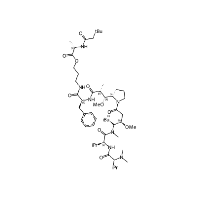 CC[C@H](C)C([C@@H](CC(=O)N1CCC[C@H]1[C@H](OC)[C@@H](C)C(=O)N[C@@H](Cc1ccccc1)C(=O)NCCCOC(=O)[C@H](C)NC(=O)CC(C)(C)C)OC)N(C)C(=O)[C@@H](NC(=O)C(C(C)C)N(C)C)C(C)C